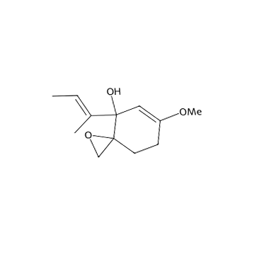 CC=C(C)C1(O)C=C(OC)CCC12CO2